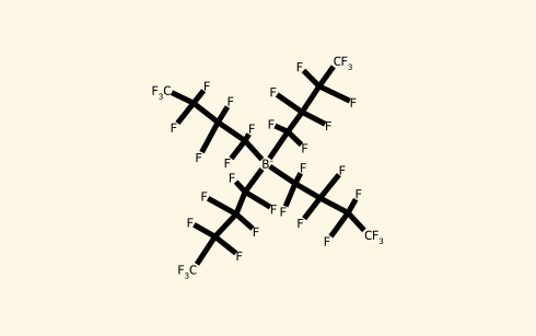 FC(F)(F)C(F)(F)C(F)(F)C(F)(F)[B-](C(F)(F)C(F)(F)C(F)(F)C(F)(F)F)(C(F)(F)C(F)(F)C(F)(F)C(F)(F)F)C(F)(F)C(F)(F)C(F)(F)C(F)(F)F